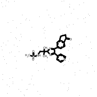 CC(C)(CNS(C)(=O)=O)C1N=C(c2ccncc2)C(c2ccc3c(c2)CCC3=O)=N1